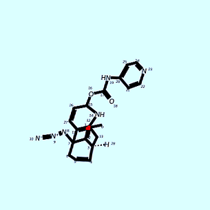 C/C=C1\[C@@H]2C=CCC1(N=[N+]=[N-])C1=C(C2)NC(OC(=O)Nc2ccncc2)C=C1